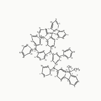 CC1(C)c2ccccc2-c2ccc(N(c3ccccc3)c3cc(-c4ccccc4)cc(N(c4cccc(N(c5ccccc5)c5ccccc5)c4)c4ccc5c(c4)-c4ccccc4C5(c4ccccc4)c4ccccc4)c3)cc21